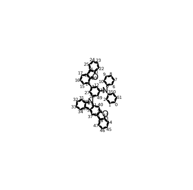 c1ccc(N(c2ccccc2)c2cc(-c3cccc4c3oc3ccccc34)cc(-n3c4ccccc4c4cc5c(cc43)oc3ccccc35)c2)cc1